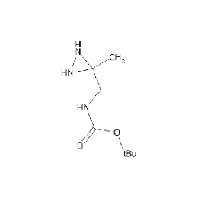 CC1(CNC(=O)OC(C)(C)C)NN1